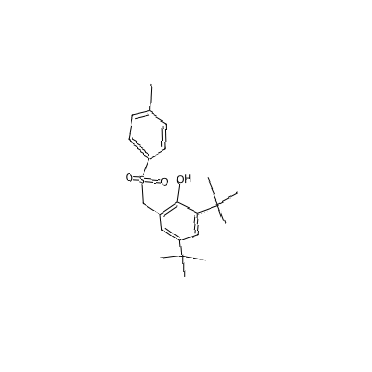 Cc1ccc(S(=O)(=O)Cc2cc(C(C)(C)C)cc(C(C)(C)C)c2O)cc1